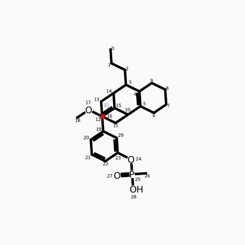 CCCC1C2=C(CCCC2)C2CCCC1/C2=C(\OC)c1cccc(OP(C)(=O)O)c1